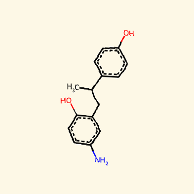 CC(Cc1cc(N)ccc1O)c1ccc(O)cc1